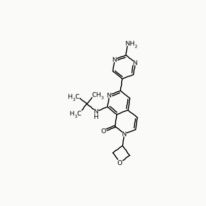 CC(C)(C)Nc1nc(-c2cnc(N)nc2)cc2ccn(C3COC3)c(=O)c12